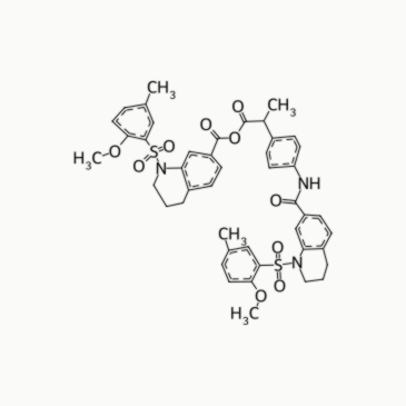 COc1ccc(C)cc1S(=O)(=O)N1CCCc2ccc(C(=O)Nc3ccc(C(C)C(=O)OC(=O)c4ccc5c(c4)N(S(=O)(=O)c4cc(C)ccc4OC)CCC5)cc3)cc21